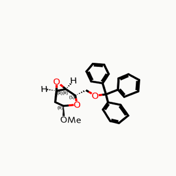 CO[C@H]1C[C@H]2O[C@H]2[C@H](COC(c2ccccc2)(c2ccccc2)c2ccccc2)O1